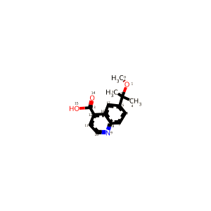 COC(C)(C)c1ccc2nccc(C(=O)O)c2c1